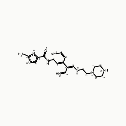 CCC\C=C/C(=C\CNC(=O)c1coc(N)n1)C(/C=N)=C/NCCN1CCNCC1